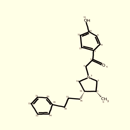 C[C@H]1CN(CC(=O)c2ccc(O)cc2)C[C@H]1CCCc1ccccc1